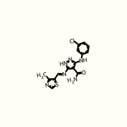 Cc1ncsc1/C=N/c1[nH]nc(Nc2cccc(Cl)c2)c1C(N)=O